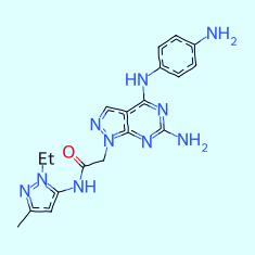 CCn1nc(C)cc1NC(=O)Cn1ncc2c(Nc3ccc(N)cc3)nc(N)nc21